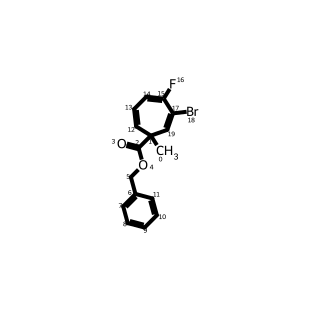 CC1(C(=O)OCc2ccccc2)C=CC=C(F)C(Br)=C1